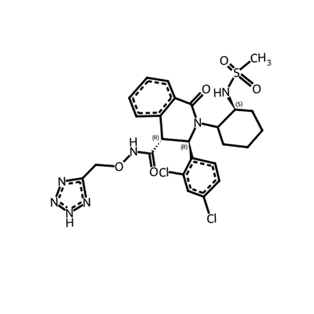 CS(=O)(=O)N[C@H]1CCCCC1N1C(=O)c2ccccc2[C@@H](C(=O)NOCc2nn[nH]n2)[C@@H]1c1ccc(Cl)cc1Cl